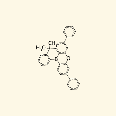 CC1(C)c2ccccc2B2c3ccc(-c4ccccc4)cc3Oc3cc(-c4ccccc4)cc1c32